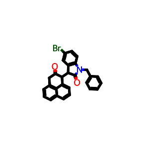 O=C1Cc2cccc3cccc(c23)C1C1C(=O)N(Cc2ccccc2)c2ccc(Br)cc21